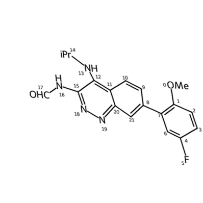 COc1ccc(F)cc1-c1ccc2c(NC(C)C)c(NC=O)nnc2c1